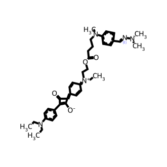 CCN(CC)c1ccc(C2=C([O-])C(=C3C=CC(=[N+](CC)CCOC(=O)CCCN(C)c4ccc(/C=N/N(C)C)cc4)C=C3)C2=O)cc1